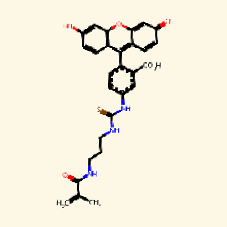 C=C(C)C(=O)NCCCNC(=S)Nc1ccc(C2=C3C=CC(=O)C=C3OC3C=C(O)C=CC23)c(C(=O)O)c1